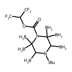 BC1N(C(C)(C)C)C(B)C(B)(B)N(C(=O)OC(C(F)(F)F)C(F)(F)F)C1(B)B